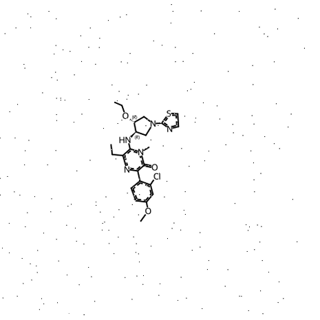 CCO[C@@H]1CN(c2nccs2)C[C@H]1Nc1c(CC)nc(-c2ccc(OC)cc2Cl)c(=O)n1C